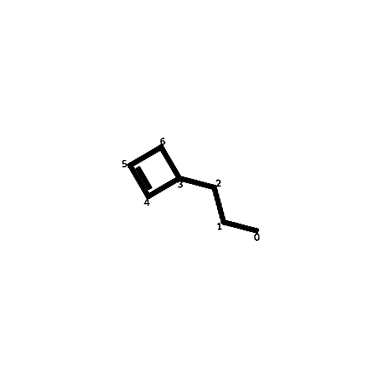 CCCC1C=CC1